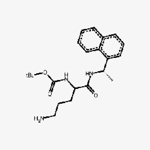 C[C@H](NC(=O)C(CCCN)NC(=O)OC(C)(C)C)c1cccc2ccccc12